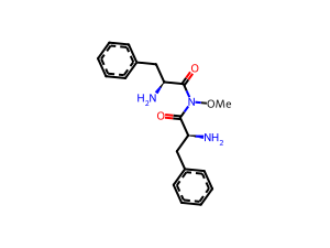 CON(C(=O)[C@@H](N)Cc1ccccc1)C(=O)[C@@H](N)Cc1ccccc1